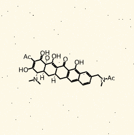 CC(=O)C1=C(O)[C@@H](N(C)C)[C@@H]2C[C@@H]3Cc4cc5ccc(CN(C)C(C)=O)cc5c(O)c4C(=O)C3=C(O)[C@]2(O)C1=O